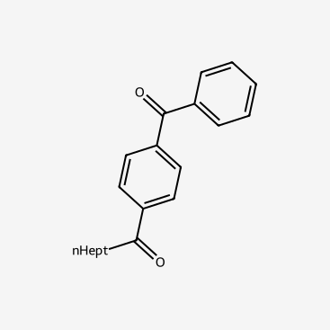 CCCCCCCC(=O)c1ccc(C(=O)c2ccccc2)cc1